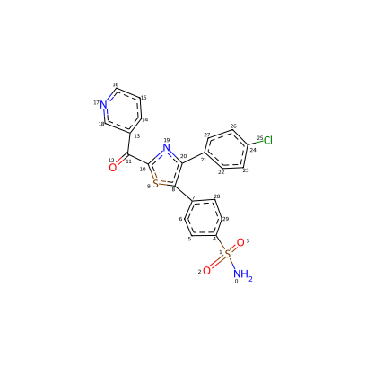 NS(=O)(=O)c1ccc(-c2sc(C(=O)c3cccnc3)nc2-c2ccc(Cl)cc2)cc1